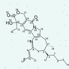 CCCCC(C)[C@H]1CC(/C=C(\C)F)=N\C2=C(C[C@@H]1C)Cn1c2cc2c(c1=O)COC(=O)C2(O)CC